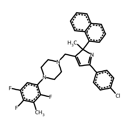 Cc1c(F)c(F)cc(N2CCN(CC3=CC(c4ccc(Cl)cc4)=NC3(C)c3cccc4ccccc34)CC2)c1F